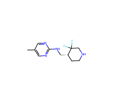 Cc1cnc(NC[C@H]2CCNCC2(F)F)nc1